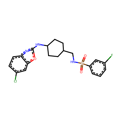 O=S(=O)(NCC1CCC(Nc2nc3ccc(Cl)cc3o2)CC1)c1cccc(F)c1